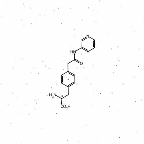 N[C@@H](Cc1ccc(CC(=O)Nc2cccnc2)cc1)C(=O)O